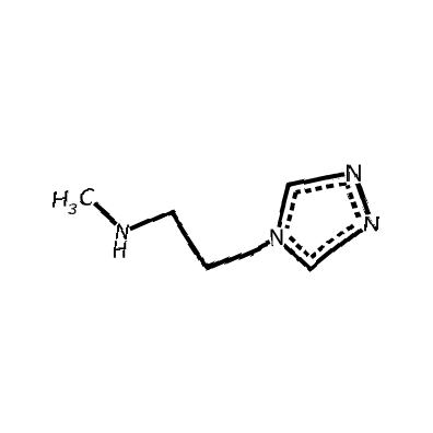 CNCCn1cnnc1